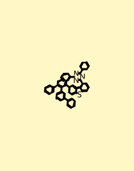 c1ccc(-c2cccc(-c3c(-c4ccccc4)cccc3-c3ccc4sc5cccc(-c6nc(-c7ccccc7)nc(-c7ccccc7)n6)c5c4c3)c2)cc1